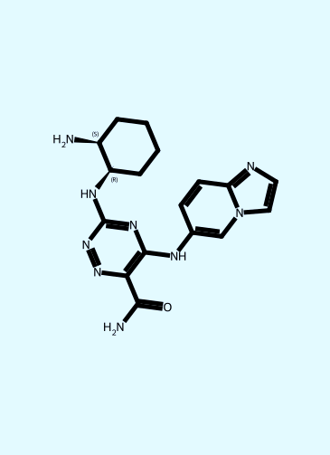 NC(=O)c1nnc(N[C@@H]2CCCC[C@@H]2N)nc1Nc1ccc2nccn2c1